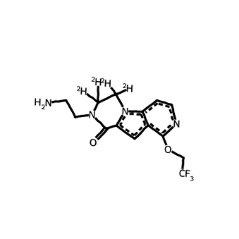 [2H]C1([2H])N(CCN)C(=O)c2cc3c(OCC(F)(F)F)nccc3n2C1([2H])[2H]